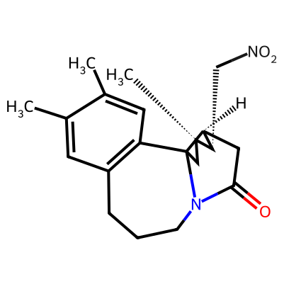 Cc1cc2c(cc1C)C13C[C@H](C)[C@@H](C[N+](=O)[O-])[C@@H]1CC(=O)N3CCC2